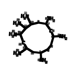 NC1CCC(N)CC(N)CC(N)C(N)C(N)CC(N)C1